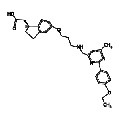 CCOc1ccc(-c2nc(C)cc(CNCCCOc3ccc4c(c3)CC[C@H]4CC(=O)O)n2)cc1